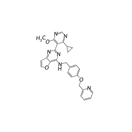 COc1ncnc(C2CC2)c1-c1nc(NCc2ccc(OCc3ccccn3)cc2)c2occc2n1